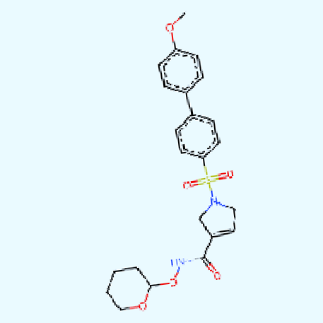 COc1ccc(-c2ccc(S(=O)(=O)N3CC=C(C(=O)NOC4CCCCO4)C3)cc2)cc1